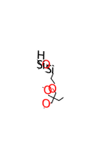 CCC(COC)(COC)COCCC[Si](C)(C)O[SiH](C)C